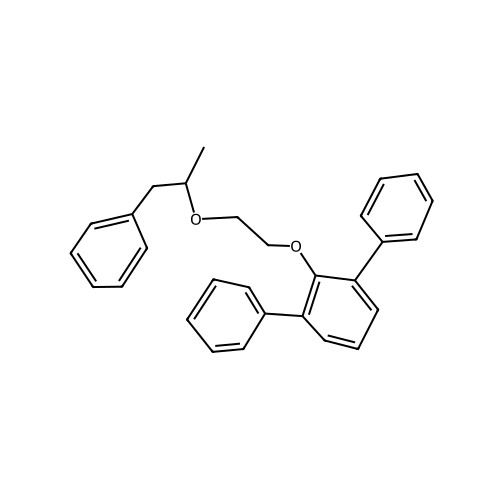 CC(Cc1ccccc1)OCCOc1c(-c2ccccc2)cccc1-c1ccccc1